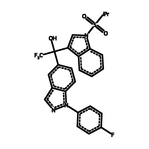 CC(C)S(=O)(=O)n1cc(C(O)(c2ccc3c(cnn3-c3ccc(F)cc3)c2)C(F)(F)F)c2ccccc21